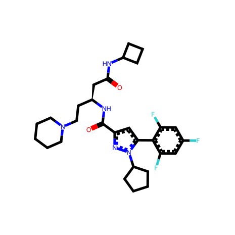 O=C(C[C@H](CCN1CCCCC1)NC(=O)c1cc(-c2c(F)cc(F)cc2F)n(C2CCCC2)n1)NC1CCC1